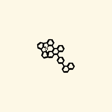 c1ccc2c(-c3ccc(-c4c5ccccc5c(-c5cccc6c7cccc8c9ccccc9n(c56)c87)c5ccccc45)cc3)cccc2c1